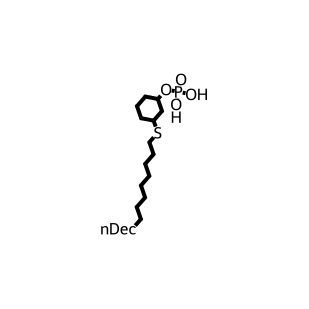 CCCCCCCCCCCCCCCCCCSC1CCCC(OP(=O)(O)O)C1